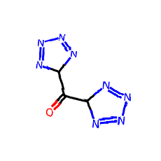 O=C(C1N=NN=N1)C1N=NN=N1